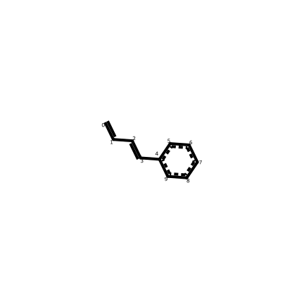 C=CC=[C]c1ccccc1